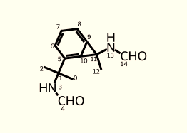 CC(C)(NC=O)c1cccc2c1C2(C)NC=O